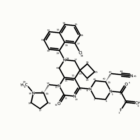 C=C(F)C(=O)N1CCN(c2nc(=O)n(C[C@@H]3CCCN3C)c3c2C2(CCC2)CN(c2cccc4cccc(Cl)c24)C3)C[C@@H]1CC#N